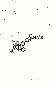 CNCC(=O)N1CCC(c2ccc(NC(=O)c3nc(C#N)c[nH]3)c(C3=CCCCC3)c2)CC1